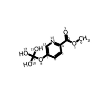 COC(=O)c1ccc(OC(O)(O)O)cn1